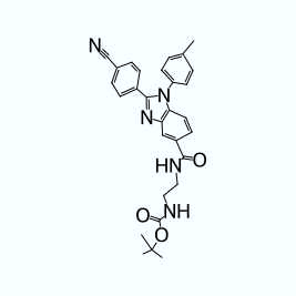 Cc1ccc(-n2c(-c3ccc(C#N)cc3)nc3cc(C(=O)NCCNC(=O)OC(C)(C)C)ccc32)cc1